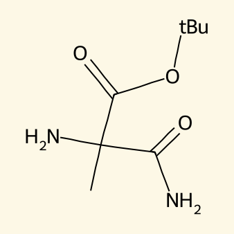 CC(C)(C)OC(=O)C(C)(N)C(N)=O